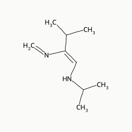 C=N/C(=C\NC(C)C)C(C)C